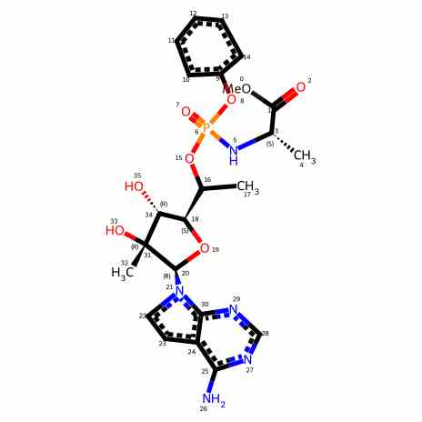 COC(=O)[C@H](C)NP(=O)(Oc1ccccc1)OC(C)[C@H]1O[C@@H](n2ccc3c(N)ncnc32)[C@](C)(O)[C@@H]1O